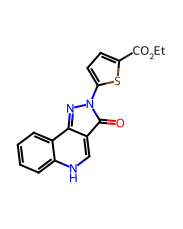 CCOC(=O)c1ccc(-n2nc3c4ccccc4[nH]cc-3c2=O)s1